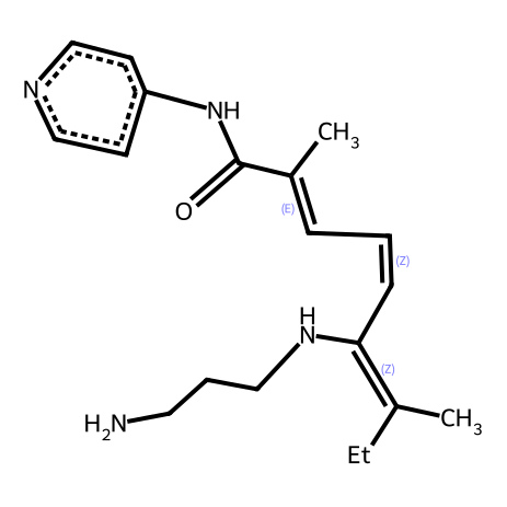 CC/C(C)=C(/C=C\C=C(/C)C(=O)Nc1ccncc1)NCCCN